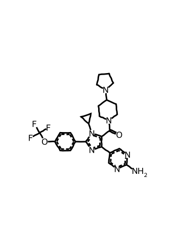 Nc1ncc(-c2nc(-c3ccc(OC(F)(F)F)cc3)n(C3CC3)c2C(=O)N2CCC(N3CCCC3)CC2)cn1